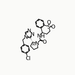 O=C(NC1CCS(=O)(=O)c2ccccc21)N1CCC[C@@H]1c1nncn1Cc1ccc(Cl)cc1